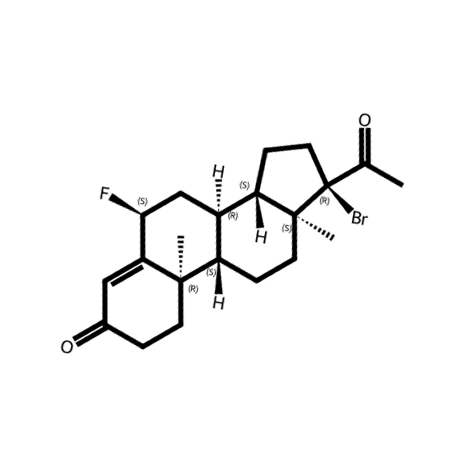 CC(=O)[C@@]1(Br)CC[C@H]2[C@@H]3C[C@H](F)C4=CC(=O)CC[C@]4(C)[C@H]3CC[C@@]21C